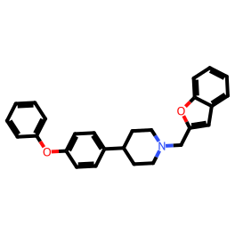 c1ccc(Oc2ccc(C3CCN(Cc4cc5ccccc5o4)CC3)cc2)cc1